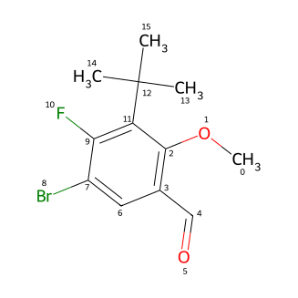 COc1c(C=O)cc(Br)c(F)c1C(C)(C)C